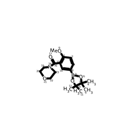 COc1ccc(B2OC(C)(C)C(C)(C)O2)cc1C(=O)N1CCOCC1